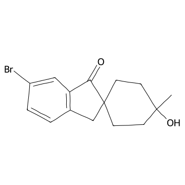 CC1(O)CCC2(CC1)Cc1ccc(Br)cc1C2=O